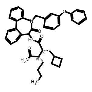 CCCC[C@H](C(N)=O)[C@@H](CC1CCC1)C(=O)NC1C(=O)N(Cc2cccc(Oc3ccccc3)c2)c2ccccc2-c2ccccc21